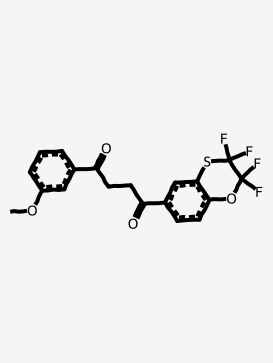 COc1cccc(C(=O)CCC(=O)c2ccc3c(c2)SC(F)(F)C(F)(F)O3)c1